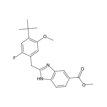 COC(=O)c1ccc2[nH]c(Cc3cc(OC)c(C(C)(C)C)cc3F)nc2c1